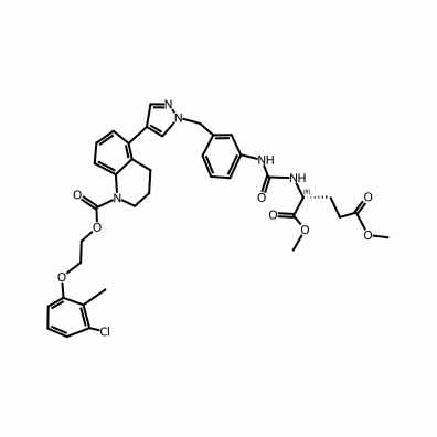 COC(=O)CC[C@@H](NC(=O)Nc1cccc(Cn2cc(-c3cccc4c3CCCN4C(=O)OCCOc3cccc(Cl)c3C)cn2)c1)C(=O)OC